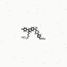 COc1ccc(N2CCN(C(=O)c3ccc4nc(-c5ccc(F)cc5)c(CCCCC(=O)O)nc4c3)CC2)cc1